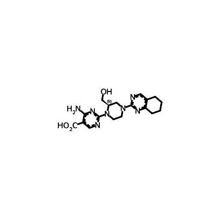 Nc1nc(N2CCN(c3ncc4c(n3)CCCC4)C[C@@H]2CO)ncc1C(=O)O